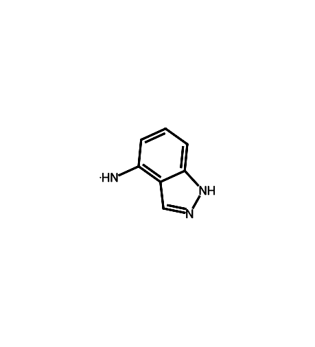 [NH]c1cccc2[nH]ncc12